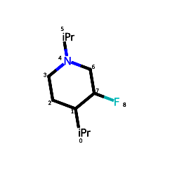 CC(C)C1CCN(C(C)C)CC1F